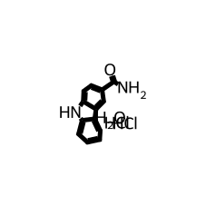 Cl.Cl.NC(=O)c1ccc2[nH]c3ccccc3c2c1.O